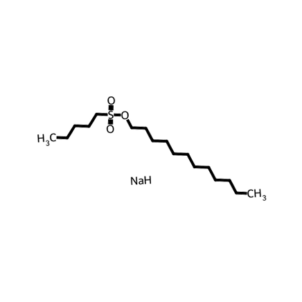 CCCCCCCCCCCCOS(=O)(=O)CCCCC.[NaH]